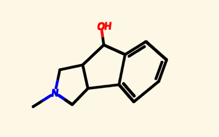 CN1CC2c3ccccc3C(O)C2C1